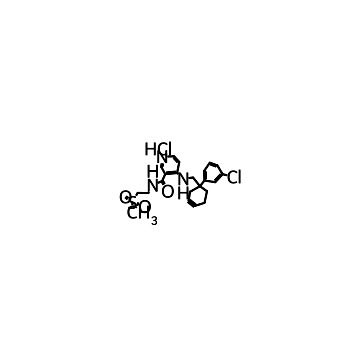 CS(=O)(=O)CCNC(=O)c1cnccc1NCC1(c2cccc(Cl)c2)CC#CCC1.Cl